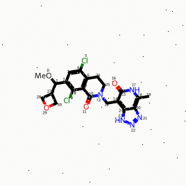 COC(c1cc(Cl)c2c(c1Cl)C(=O)N(Cc1c(=O)[nH]c(C)c3nn[nH]c13)CC2)C1COC1